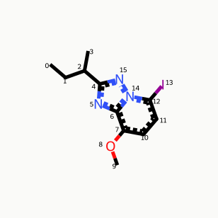 CCC(C)c1nc2c(OC)ccc(I)n2n1